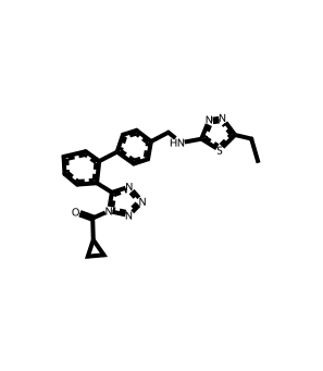 CCc1nnc(NCc2ccc(-c3ccccc3-c3nnnn3C(=O)C3CC3)cc2)s1